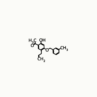 C=CCc1cc(C(C)=O)c(O)cc1OCc1cccc(C)c1